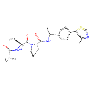 Cc1ncsc1-c1ccc(C(C)NC(=O)C2CCCN2C(=O)[C@@H](NC(=O)C2(C#N)CC2)C(C)(C)C)cc1